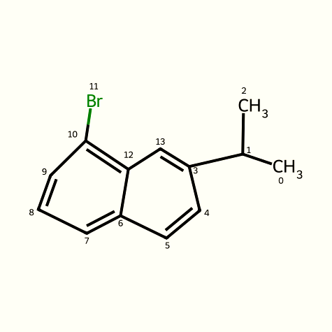 CC(C)c1ccc2cccc(Br)c2c1